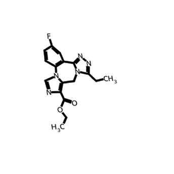 CCOC(=O)c1ncn2c1Cn1c(CC)nnc1-c1cc(F)ccc1-2